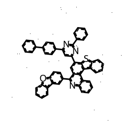 c1ccc(-c2ccc(-c3cc(-c4cc5c(-c6ccc7oc8ccccc8c7c6)nc6ccccc6c5c5c4sc4ccccc45)nc(-c4ccccc4)n3)cc2)cc1